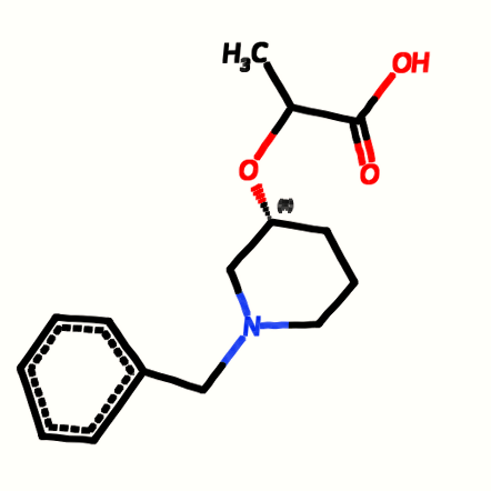 CC(O[C@@H]1CCCN(Cc2ccccc2)C1)C(=O)O